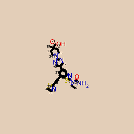 CCN(C(N)=O)c1nc2cc(-c3cnc(N4CCC(C)(C(=O)O)CC4)nc3)cc(C#Cc3nccs3)c2s1